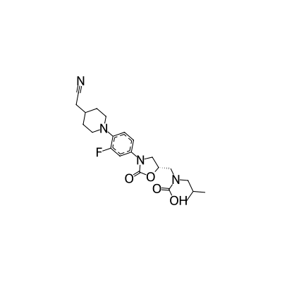 CC(C)CN(C[C@H]1CN(c2ccc(N3CCC(CC#N)CC3)c(F)c2)C(=O)O1)C(=O)O